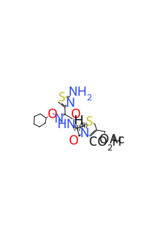 CC(=O)OCC1=C(C(=O)O)N2C(=O)[C@@H](NC(=O)C(=NOC3CCCCC3)c3csc(N)n3)[C@H]2SC1